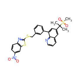 CC(C)(c1cc(-c2cccc(CSc3nc4ccc([N+](=O)[O-])cc4s3)c2)c2ncccc2c1)S(C)(=O)=O